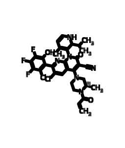 C=CC(=O)N1CCN(c2c(C#N)c(=O)n(C3=C(C)C=CNC3C(C)C)c3nc(-c4c(O)c(F)c(F)c(F)c4Cl)c(Cl)cc23)C[C@H]1C